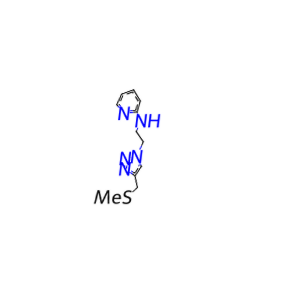 CSCc1cn(CCNc2ccccn2)nn1